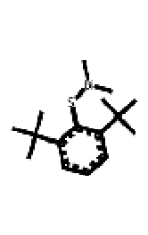 [CH3][Bi]([CH3])[S]c1c(C(C)(C)C)cccc1C(C)(C)C